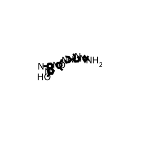 Cc1nc(N2CC(C)(N)C2)ccc1N1CCN(CC2CN(c3ccc(C#N)c4nc(O)ccc34)CC(C)O2)CC1